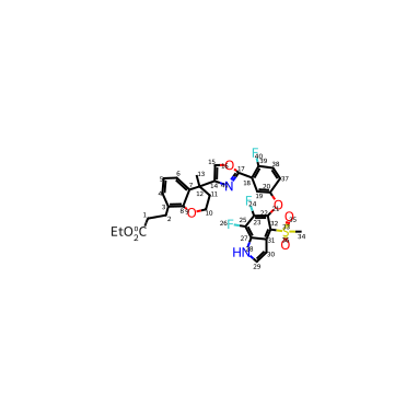 CCOC(=O)CCc1cccc2c1OCCC2(C)c1coc(-c2cc(Oc3c(F)c(F)c4[nH]ccc4c3S(C)(=O)=O)ccc2F)n1